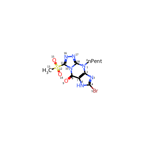 CCCCCn1c2nc(Br)[nH]c2c(=O)n2c(S(C)(=O)=O)nnc12